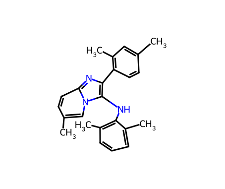 Cc1ccc(-c2nc3ccc(C)cn3c2Nc2c(C)cccc2C)c(C)c1